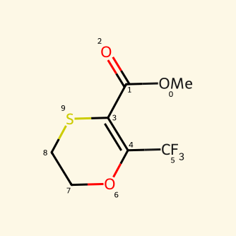 COC(=O)C1=C(C(F)(F)F)OCCS1